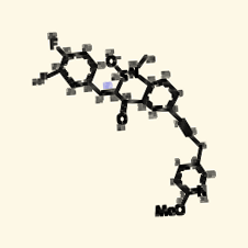 COc1ccc(CC#Cc2ccc3c(c2)C(=O)/C(=C/c2ccc(F)c(F)c2)[S+]([O-])N3C)cn1